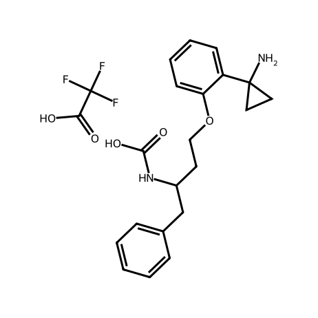 NC1(c2ccccc2OCCC(Cc2ccccc2)NC(=O)O)CC1.O=C(O)C(F)(F)F